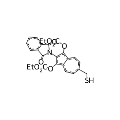 CCOC(=O)Oc1c2ccc(CS)ccc-2c(OC(=O)OCC)c1N1C(=O)c2ccccc2C1=O